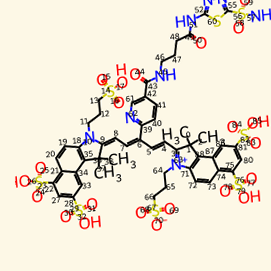 CC1(C)C(/C=C/C(=C/C=C2/N(CCCS(=O)(=O)O)c3ccc4c(S(=O)(=O)O)cc(S(=O)(=O)O)cc4c3C2(C)C)c2ccc(C(=O)NCCCC(=O)Nc3nnc(S(N)(=O)=O)s3)cn2)=[N+](CCCS(=O)(=O)[O-])c2ccc3c(S(=O)(=O)O)cc(S(=O)(=O)O)cc3c21